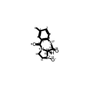 Cc1ccc2c(c1)C(=O)N1CC[S@+]([O-])[C@H]1C(=O)S2